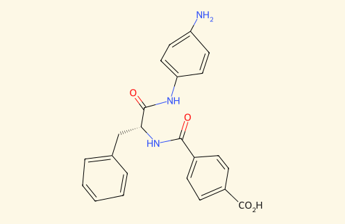 Nc1ccc(NC(=O)[C@@H](Cc2ccccc2)NC(=O)c2ccc(C(=O)O)cc2)cc1